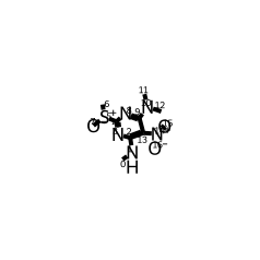 CNc1nc([S+](C)[O-])nc(N(C)C)c1[N+](=O)[O-]